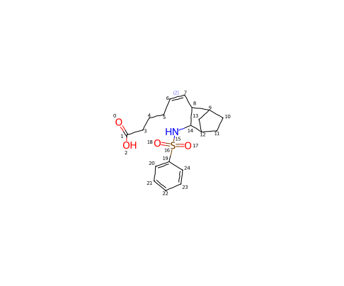 O=C(O)CCC/C=C\C1C2CCC(C2)C1NS(=O)(=O)c1ccccc1